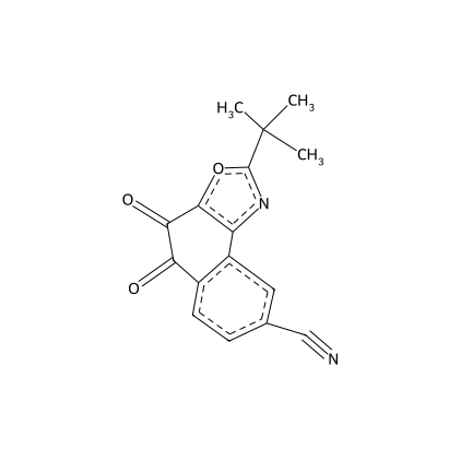 CC(C)(C)c1nc2c(o1)C(=O)C(=O)c1ccc(C#N)cc1-2